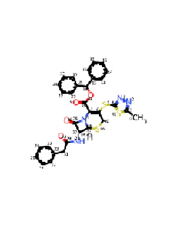 Cc1nnc(SC2=C(C(=O)OC(c3ccccc3)c3ccccc3)N3C(=O)[C@@H](NC(=O)Cc4ccccc4)[C@@H]3SC2)s1